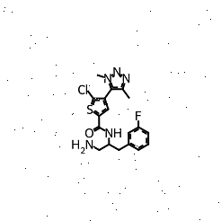 Cc1nnn(C)c1-c1cc(C(=O)NC(CN)Cc2cccc(F)c2)sc1Cl